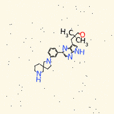 CC(C)(C=O)Cc1c[nH]c2ncc(-c3cccc(N4CCC5(CCCNC5)C4)c3)nc12